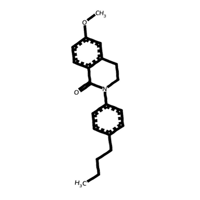 CCCCc1ccc(N2CCc3cc(OC)ccc3C2=O)cc1